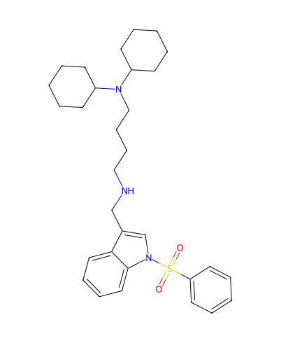 O=S(=O)(c1ccccc1)n1cc(CNCCCCN(C2CCCCC2)C2CCCCC2)c2ccccc21